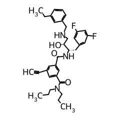 C#Cc1cc(C(=O)N[C@@H](Cc2cc(F)cc(F)c2)[C@H](O)CNCc2cccc(CC)c2)cc(C(=O)N(CCC)CCC)c1